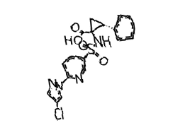 O=C(O)[C@]1(NS(=O)(=O)c2ccc(-n3cc(Cl)cn3)nc2)C[C@@H]1c1ccccc1